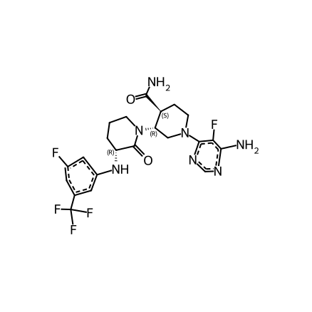 NC(=O)[C@H]1CCN(c2ncnc(N)c2F)C[C@@H]1N1CCC[C@@H](Nc2cc(F)cc(C(F)(F)F)c2)C1=O